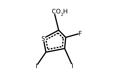 O=C(O)c1sc(I)c(I)c1F